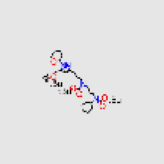 CC(C)(C)OC(=O)N(CCCc1cc(CO[Si](C)(C)C(C)(C)C)n(C2CCCCO2)n1)CCCN(C(=O)OC(C)(C)C)C1CCCCC1